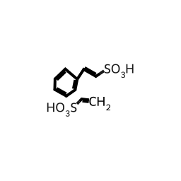 C=CS(=O)(=O)O.O=S(=O)(O)C=Cc1ccccc1